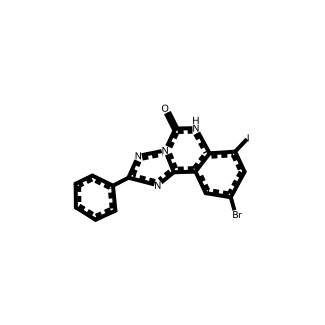 O=c1[nH]c2c(I)cc(Br)cc2c2nc(-c3ccccc3)nn12